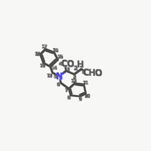 O=CCCC(C(=O)O)N(Cc1ccccc1)Cc1ccccc1